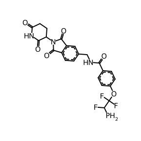 O=C1CCC(N2C(=O)c3ccc(CNC(=O)c4ccc(OC(F)(F)C(F)P)cc4)cc3C2=O)C(=O)N1